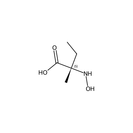 CC[C@](C)(NO)C(=O)O